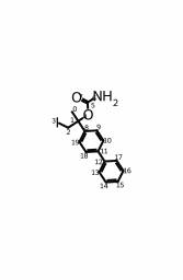 CC(CI)(OC(N)=O)c1ccc(-c2ccccc2)cc1